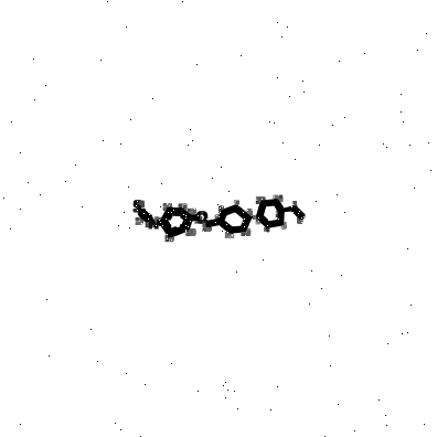 CC[C@H]1CC[C@H](C2CCC(COc3ccc(N=C=S)cc3)CC2)CC1